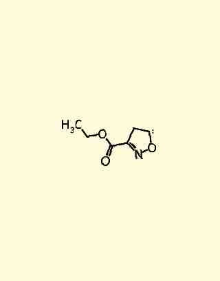 CCOC(=O)C1=NO[C]C1